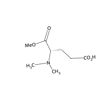 COC(=O)[C@H](CCC(=O)O)N(C)C